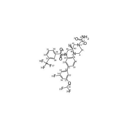 NS(=O)(=O)N1CCN2c3ccc(-c4cc(F)cc(OC(F)F)c4)cc3N(S(=O)(=O)c3cccc(C(F)(F)F)c3)C[C@@H]2C1